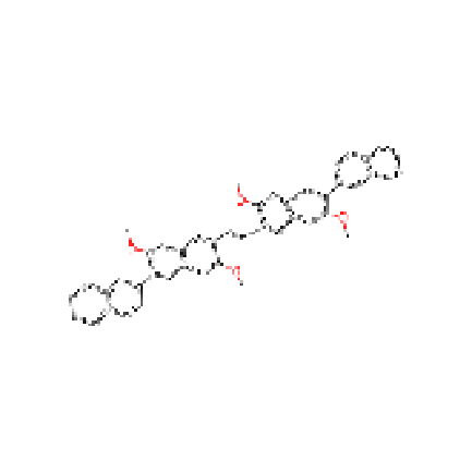 COc1cc2cc(-c3ccc4ccccc4c3)c(OC)cc2cc1/C=C/c1cc2cc(OC)c(-c3ccc4ccccc4c3)cc2cc1OC